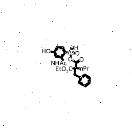 CCCC(Cc1ccccc1)(C(=O)OCC)C(=O)O[As](=O)(O)c1ccc(O)cc1NC(C)=O